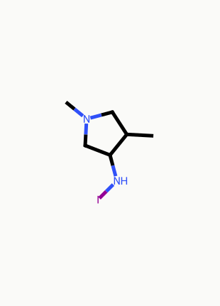 CC1CN(C)CC1NI